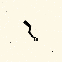 C=C[CH2][Ta]